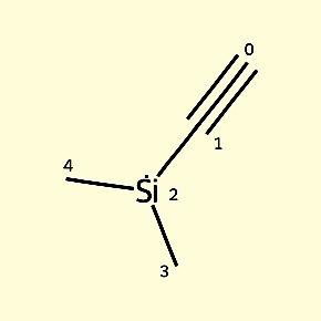 C#C[Si](C)C